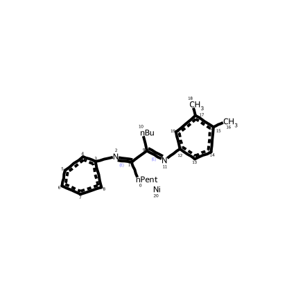 CCCCCC(=N\c1ccccc1)/C(CCCC)=N/c1ccc(C)c(C)c1.[Ni]